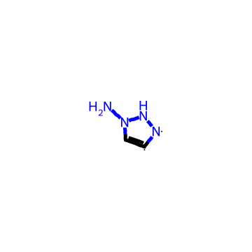 NN1C=[C][N]N1